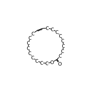 O=C1CCCCCCCCC=CCCCCCCCCCO1